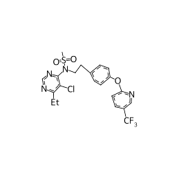 CCc1ncnc(N(CCc2ccc(Oc3ccc(C(F)(F)F)cn3)cc2)S(C)(=O)=O)c1Cl